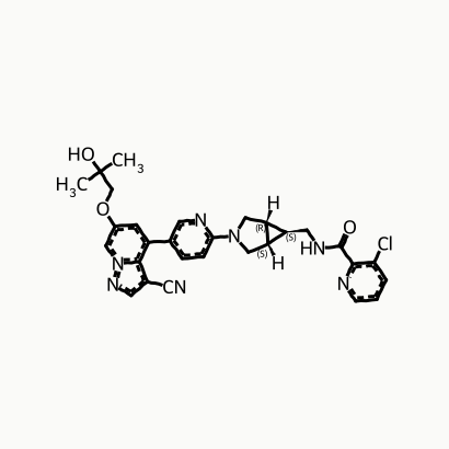 CC(C)(O)COc1cc(-c2ccc(N3C[C@@H]4[C@@H](CNC(=O)c5ncccc5Cl)[C@@H]4C3)nc2)c2c(C#N)cnn2c1